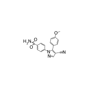 COc1ccc(-c2c(C#N)cnn2-c2ccc(S(N)(=O)=O)cc2)cc1